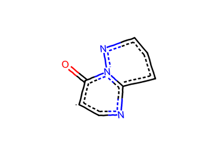 O=c1[c]cnc2cccnn12